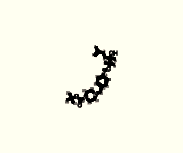 C=C(C)CCC(C)(O)C(C)(C)OSc1ccc(CN2CCN(C(=O)OC(C)(C)C)CC2)cc1